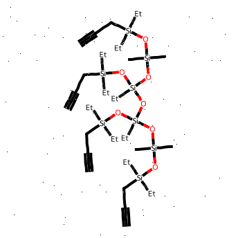 C#CC[Si](CC)(CC)O[Si](C)(C)O[Si](CC)(O[Si](CC)(CC)CC#C)O[Si](CC)(O[Si](CC)(CC)CC#C)O[Si](C)(C)O[Si](CC)(CC)CC#C